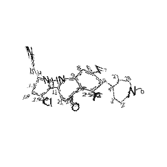 CN1CCC(c2c(F)cc3[nH]c(-c4nc(C#N)ccc4Cl)cc(=O)c3c2F)CC1